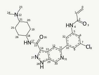 C=CC(=O)Nc1cc(Cl)cc(-c2cc3c(C(=O)NC4CCC(N(C)C)CC4)n[nH]c3cn2)c1